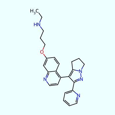 CCNCCCOc1ccc2c(-c3c(-c4ccccn4)nn4c3CCC4)ccnc2c1